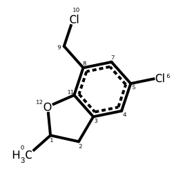 CC1Cc2cc(Cl)cc(CCl)c2O1